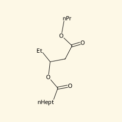 CCCCCCCC(=O)OC(CC)CC(=O)OCCC